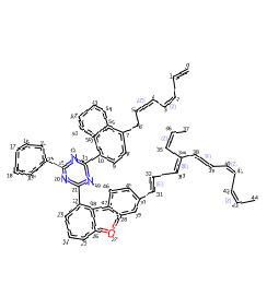 C=C/C=C\C=C/Cc1ccc(-c2nc(-c3ccccc3)nc(-c3cccc4oc5cc(/C=C/C=C(\C=C/C)/C=C/C=C\C=C/C)ccc5c34)n2)c2ccccc12